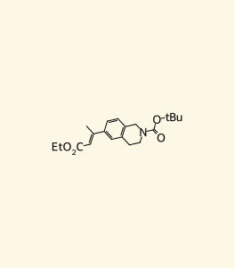 CCOC(=O)C=C(C)c1ccc2c(c1)CCN(C(=O)OC(C)(C)C)C2